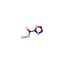 CC(C)OC(=O)c1ncco1